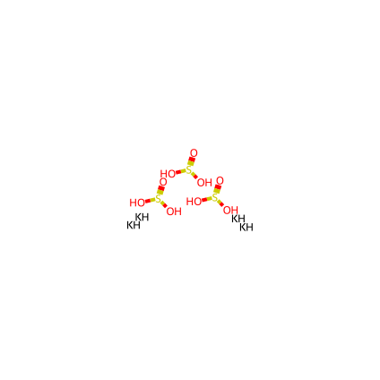 O=S(O)O.O=S(O)O.O=S(O)O.[KH].[KH].[KH].[KH]